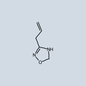 C=CCC1=NOCN1